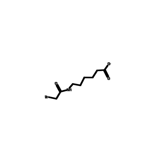 [O]C(=O)CCCCCNC(=O)CBr